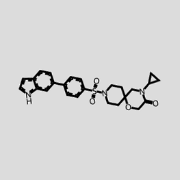 O=C1COC2(CCN(S(=O)(=O)c3ccc(-c4ccc5cc[nH]c5c4)cc3)CC2)CN1C1CC1